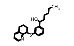 CCCCCC(O)c1cccc(SC2CCCc3cccnc32)c1